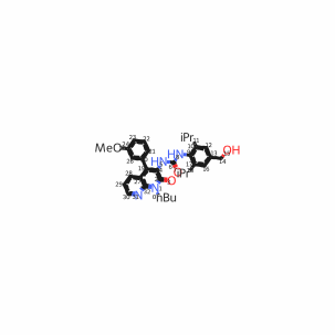 CCCCn1c(=O)c(NC(=O)Nc2c(C(C)C)cc(CO)cc2C(C)C)c(-c2cccc(OC)c2)c2cccnc21